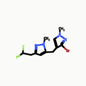 Cn1cc(Cc2cc(CC(F)F)nn2C)c(Br)n1